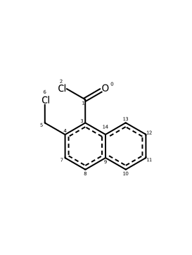 O=C(Cl)c1c(CCl)ccc2ccccc12